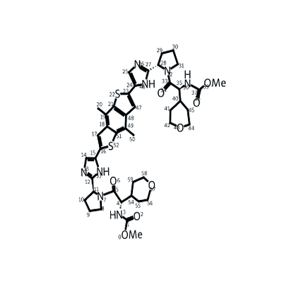 COC(=O)N[C@H](C(=O)N1CCC[C@H]1c1ncc(-c2cc3c(C)c4sc(-c5cnc([C@@H]6CCCN6C(=O)[C@@H](NC(=O)OC)C6CCOCC6)[nH]5)cc4c(C)c3s2)[nH]1)C1CCOCC1